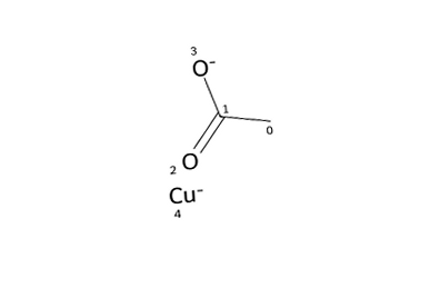 CC(=O)[O-].[Cu-]